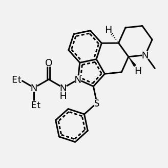 CCN(CC)C(=O)Nn1c(Sc2ccccc2)c2c3c(cccc31)[C@H]1CCCN(C)[C@@H]1C2